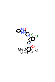 CCc1c(OC)c(OC)cc(C(=O)N2CCC(CCN3CCC(C(=O)c4nc5ccccc5[nH]4)CC3)(c3ccc(Cl)c(Cl)c3)C2)c1OC(C)=O